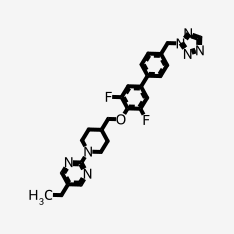 CCc1cnc(N2CCC(COc3c(F)cc(-c4ccc(Cn5ncnn5)cc4)cc3F)CC2)nc1